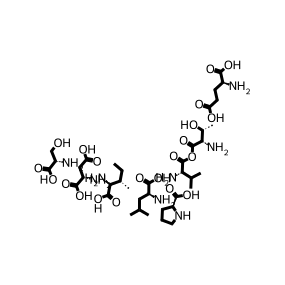 CC(C)C[C@H](N)C(=O)O.CC(C)[C@H](N)C(=O)OC(=O)[C@@H](N)[C@@H](C)O.CC[C@H](C)[C@H](N)C(=O)O.N[C@@H](CC(=O)O)C(=O)O.N[C@@H](CCC(=O)O)C(=O)O.N[C@@H](CO)C(=O)O.O=C(O)[C@@H]1CCCN1